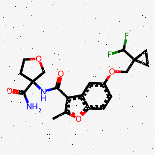 Cc1oc2ccc(OCC3(C(F)F)CC3)cc2c1C(=O)NC1(C(N)=O)CCOC1